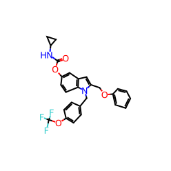 O=C(NC1CC1)Oc1ccc2c(c1)cc(COc1ccccc1)n2Cc1ccc(OC(F)(F)F)cc1